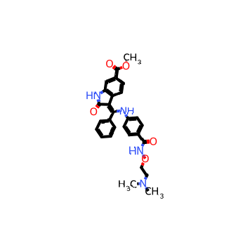 COC(=O)c1ccc2c(c1)NC(=O)C2=C(Nc1ccc(C(=O)NOCCN(C)C)cc1)c1ccccc1